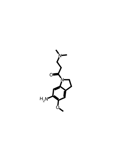 COc1cc2c(cc1N)N(C(=O)CCN(C)C)CC2